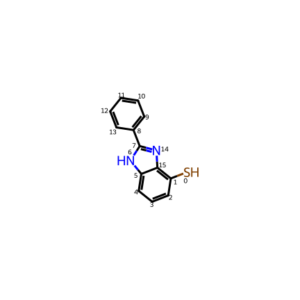 Sc1cccc2[nH]c(-c3ccccc3)nc12